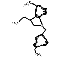 O=C(O)CC1CN(Cc2ccc(O)cc2)c2cccc(C(=O)O)c21